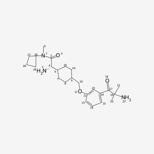 CN(C(=O)[C@@H](N)C1CCC(COc2cccc(C(=O)C(C)(C)N)c2)CC1)C1CCC1